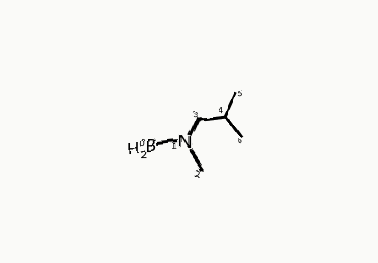 BN(C)CC(C)C